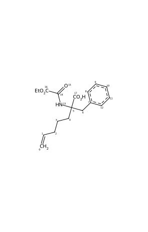 C=CCCCC(Cc1ccccc1)(NC(=O)C(=O)OCC)C(=O)O